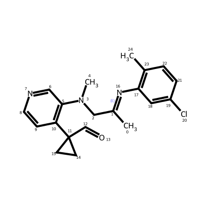 C/C(CN(C)c1cnccc1C1(C=O)CC1)=N\c1cc(Cl)ccc1C